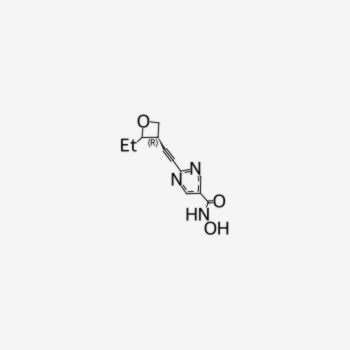 CCC1OC[C@H]1C#Cc1ncc(C(=O)NO)cn1